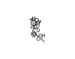 CC(O)c1cn(C[C@@H]2C(=O)O[C@H]3[C@H]2CCC2(CC2)[C@@H]2CCC4(CC4)[C@H]32)nn1